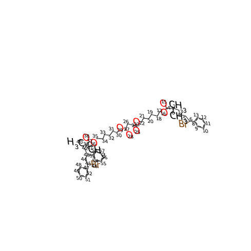 CC(C)(CCCC(Br)c1ccccc1)C(=O)OCCCCCCOC(=O)CC(=O)OCCCCCCOC(=O)C(C)(C)CC(CC(Br)c1ccccc1)c1ccccc1